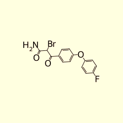 NC(=O)C(Br)C(=O)c1ccc(Oc2ccc(F)cc2)cc1